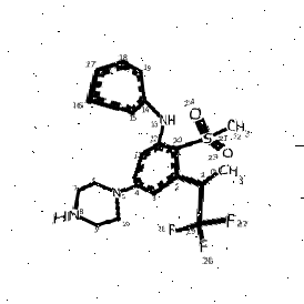 CC(c1cc(N2CCNCC2)cc(Nc2ccccc2)c1S(C)(=O)=O)C(F)(F)F